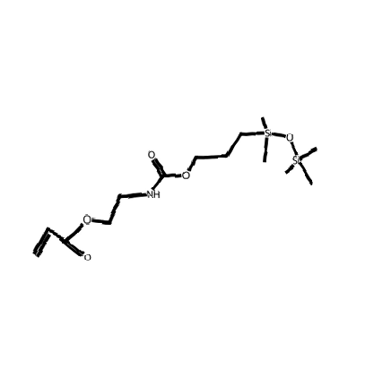 C=CC(=O)OCCNC(=O)OCCC[Si](C)(C)O[Si](C)(C)C